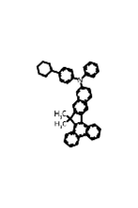 CC1(C)c2cc3cc(N(c4ccccc4)c4ccc(C5CCCCC5)cc4)ccc3cc2-c2c1c1ccccc1c1ccccc21